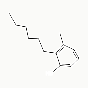 CCCCCCc1c(C)cccc1O